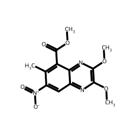 COC(=O)c1c(C)c([N+](=O)[O-])cc2nc(OC)c(OC)nc12